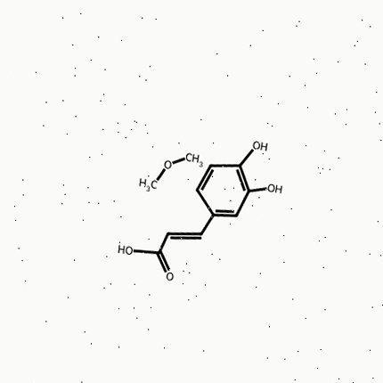 COC.O=C(O)/C=C/c1ccc(O)c(O)c1